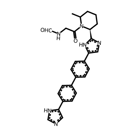 CC1CCC[C@@H](c2ncc(-c3ccc(-c4ccc(-c5cnc[nH]5)cc4)cc3)[nH]2)N1C(=O)CNC=O